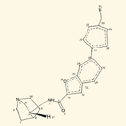 O=C(N[C@H]1CN2CCC1CC2)c1cc2ccc(-c3ccc(F)cc3)cc2o1